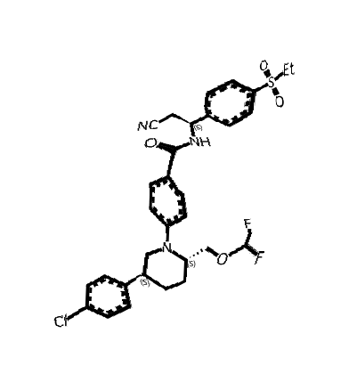 CCS(=O)(=O)c1ccc([C@H](CC#N)NC(=O)c2ccc(N3C[C@H](c4ccc(Cl)cc4)CC[C@H]3COC(F)F)cc2)cc1